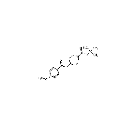 COc1ccc(C(=O)CC2CCN(C(=O)OC(C)(C)C)CC2)cn1